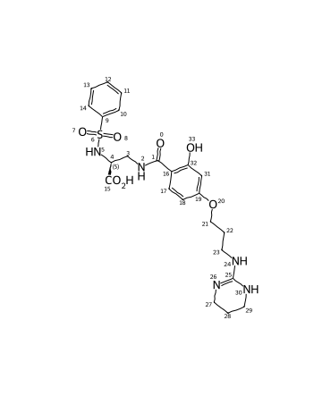 O=C(NC[C@H](NS(=O)(=O)c1ccccc1)C(=O)O)c1ccc(OCCCNC2=NCCCN2)cc1O